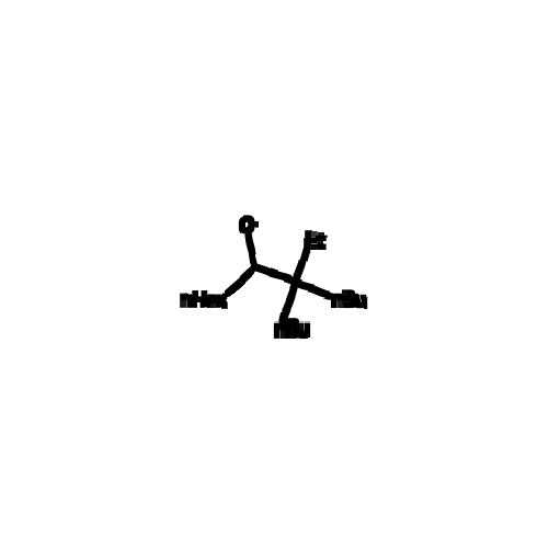 CCCCCCC([O])C(CC)(CCCC)CCCC